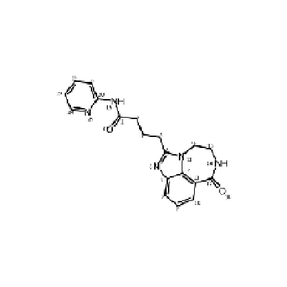 O=C(CCCc1nc2cccc3c2n1CCNC3=O)Nc1ccccn1